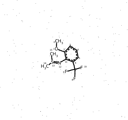 COc1cccc(C(F)(F)F)c1N=S(C)C